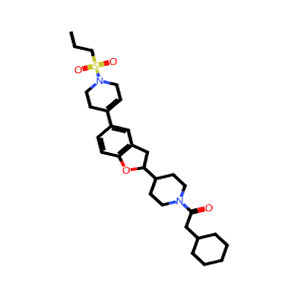 CCCS(=O)(=O)N1CC=C(c2ccc3c(c2)CC(C2CCN(C(=O)CC4CCCCC4)CC2)O3)CC1